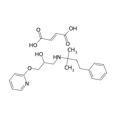 CC(C)(CCc1ccccc1)NCC(O)COc1ccccn1.O=C(O)C=CC(=O)O